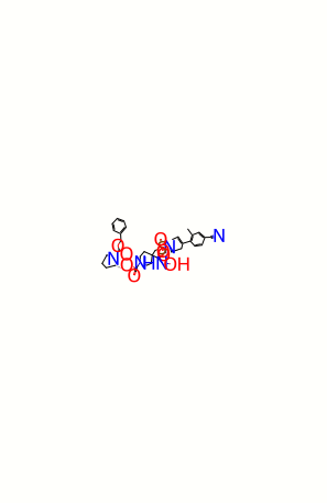 Cc1cc(C#N)ccc1C1=CCN(S(=O)(=O)CC2(C(=O)NO)CCN(C(=O)OC[C@@H]3CCCN3C(=O)OCc3ccccc3)CC2)CC1